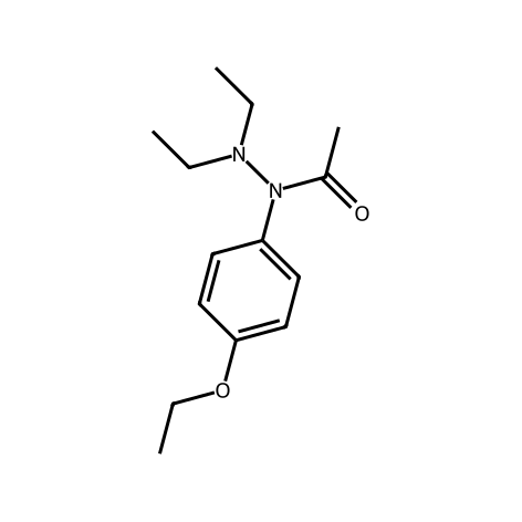 CCOc1ccc(N(C(C)=O)N(CC)CC)cc1